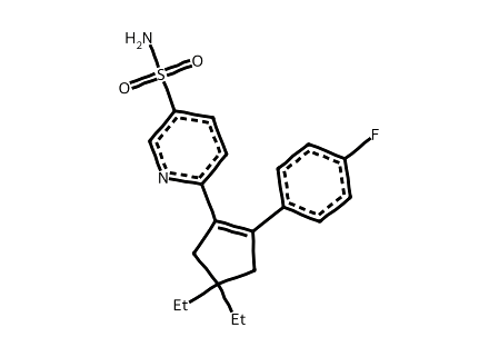 CCC1(CC)CC(c2ccc(F)cc2)=C(c2ccc(S(N)(=O)=O)cn2)C1